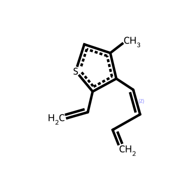 C=C/C=C\c1c(C)csc1C=C